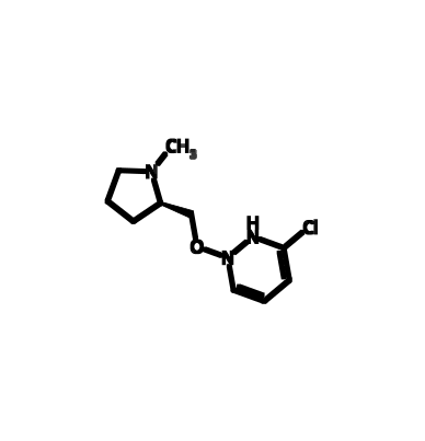 CN1CCC[C@@H]1CON1C=CC=C(Cl)N1